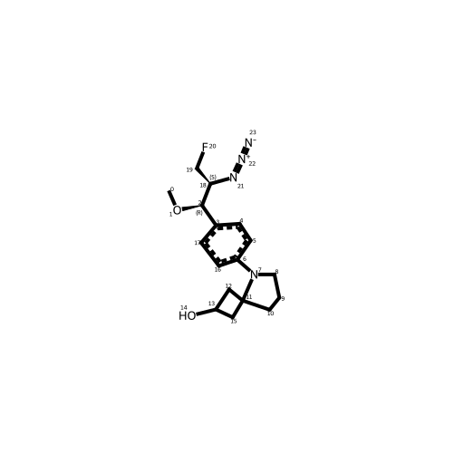 CO[C@H](c1ccc(N2CCCC23CC(O)C3)cc1)[C@@H](CF)N=[N+]=[N-]